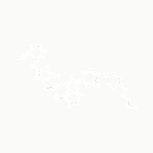 COCCCN1CCN(Cc2ccc(-n3nc(-c4ccc5[nH]c(Cc6ccccc6OC)nc5c4)c4c(N)ncnc43)cc2)CC1